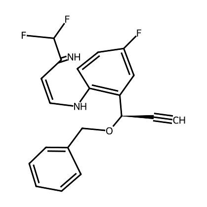 C#C[C@@H](OCc1ccccc1)c1cc(F)ccc1N/C=C\C(=N)C(F)F